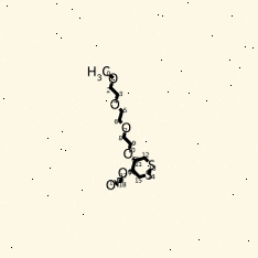 COCCOCCOCCO[C@H]1CSSC[C@@H]1OP=O